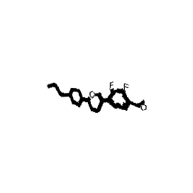 CCCC1CCC(C2CCC(c3ccc(C4CO4)c(F)c3F)CO2)CC1